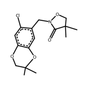 CC1(C)COc2cc(Cl)c(CN3OCC(C)(C)C3=O)cc2O1